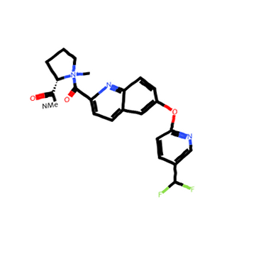 CNC(=O)[C@@H]1CCC[N+]1(C)C(=O)c1ccc2cc(Oc3ccc(C(F)F)cn3)ccc2n1